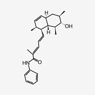 C/C(=C\C=C\[C@@H]1[C@H]2[C@H](C)[C@@H](O)[C@H](C)C[C@@H]2C=C[C@@H]1C)C(=O)Nc1ccccc1